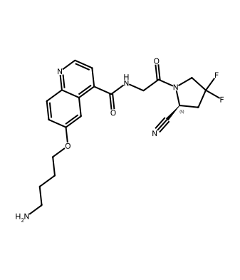 N#C[C@@H]1CC(F)(F)CN1C(=O)CNC(=O)c1ccnc2ccc(OCCCCN)cc12